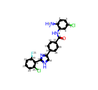 Nc1ccc(Cl)cc1NC(=O)c1ccc(-c2c[nH]c(-c3c(F)cccc3Cl)n2)cc1